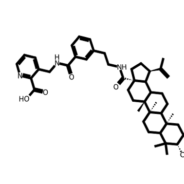 C=C(C)[C@@H]1CC[C@]2(C(=O)NCCc3cccc(C(=O)NCc4cccnc4C(=O)O)c3)CC[C@]3(C)C(CCC4[C@@]5(C)CC[C@H](O)C(C)(C)C5CC[C@]43C)C12